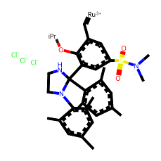 Cc1cc(C)c(N2CCNC2(c2cc(S(=O)(=O)N(C)C)cc([CH]=[Ru+3])c2OC(C)C)c2c(C)cc(C)cc2C)c(C)c1.[Cl-].[Cl-].[Cl-]